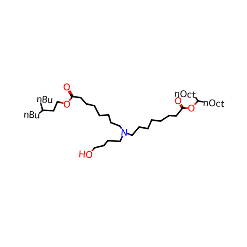 CCCCCCCCC(CCCCCCCC)OC(=O)CCCCCCCN(CCCCO)CCCCCCCC(=O)OCCC(CCCC)CCCC